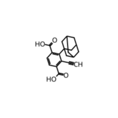 C#Cc1c(C(=O)O)ccc(C(=O)O)c1C12CC3CC(CC(C3)C1)C2